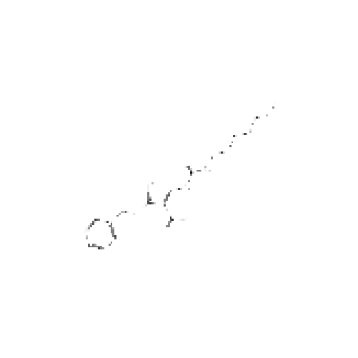 CCc1ccc(COc2nsc(NC(=O)NCCCCCNC(C)C)c2C(N)=O)cc1